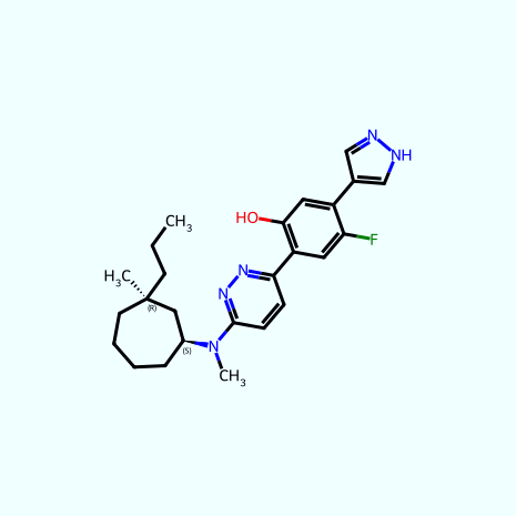 CCC[C@]1(C)CCCC[C@H](N(C)c2ccc(-c3cc(F)c(-c4cn[nH]c4)cc3O)nn2)C1